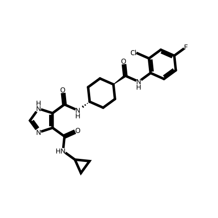 O=C(NC1CC1)c1nc[nH]c1C(=O)N[C@H]1CC[C@H](C(=O)Nc2ccc(F)cc2Cl)CC1